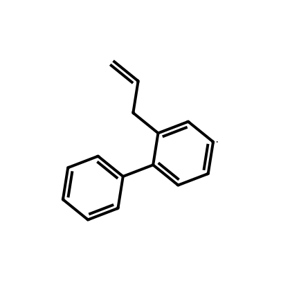 C=CCc1c[c]ccc1-c1ccccc1